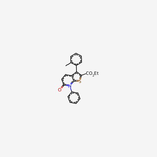 CCOC(=O)c1sc2c(ccc(=O)n2-c2ccccc2)c1-c1ccccc1C